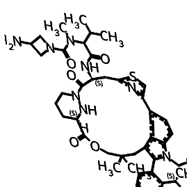 CCn1c(-c2cccnc2[C@H](C)OC)c2c3cc(ccc31)-c1csc(n1)C[C@H](NC(=O)C(C(C)C)N(C)C(=O)N1CC(N)C1)C(=O)N1CCC[C@H](N1)C(=O)OCC(C)(C)C2